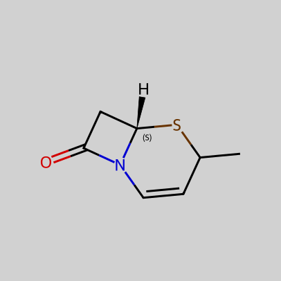 CC1C=CN2C(=O)C[C@@H]2S1